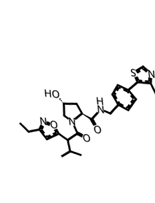 CCc1cc(C(C(=O)N2C[C@H](O)C[C@H]2C(=O)NCc2ccc(-c3scnc3C)cc2)C(C)C)on1